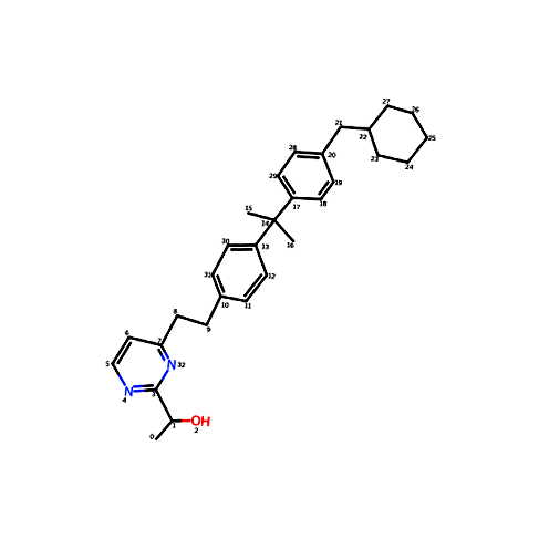 CC(O)c1nccc(CCc2ccc(C(C)(C)c3ccc(CC4CCCCC4)cc3)cc2)n1